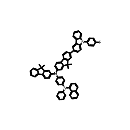 CC1(C)c2ccccc2-c2ccc(N(c3ccc(N(c4ccccc4)c4cccc5ccccc45)cc3)c3ccc4c(c3)C(C)(C)c3cc(-c5ccc6c(c5)c5ccccc5n6-c5ccc(F)cc5)ccc3-4)cc21